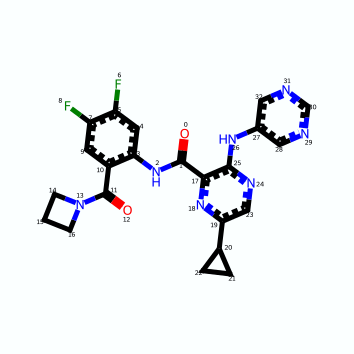 O=C(Nc1cc(F)c(F)cc1C(=O)N1CCC1)c1nc(C2CC2)cnc1Nc1cncnc1